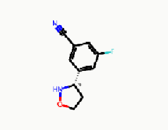 N#Cc1cc(F)cc([C@@H]2CCON2)c1